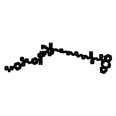 CC(C)C(NC(=O)CCOCCOCCOCCOCCNC(=O)CCC(=O)N1Cc2ccccc2C#Cc2ccccc21)C(=O)NCC(=O)Nc1ccc(COC(=O)Oc2ccc([N+](=O)[O-])cc2)cc1